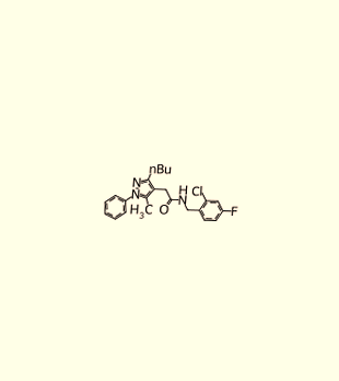 CCCCc1nn(-c2ccccc2)c(C)c1CC(=O)NCc1ccc(F)cc1Cl